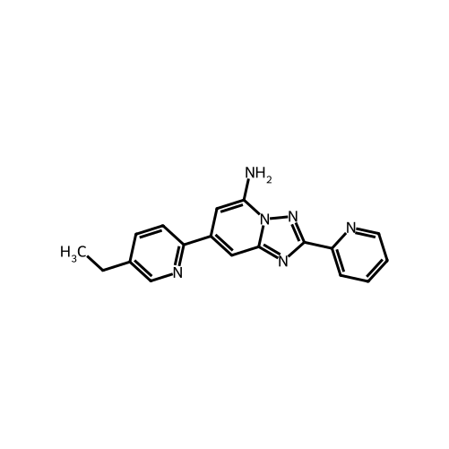 CCc1ccc(-c2cc(N)n3nc(-c4ccccn4)nc3c2)nc1